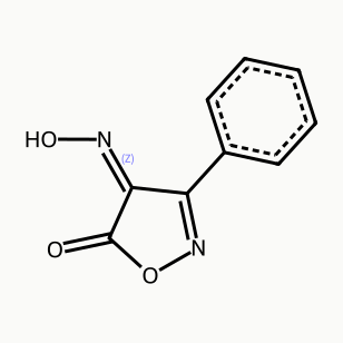 O=C1ON=C(c2ccccc2)/C1=N/O